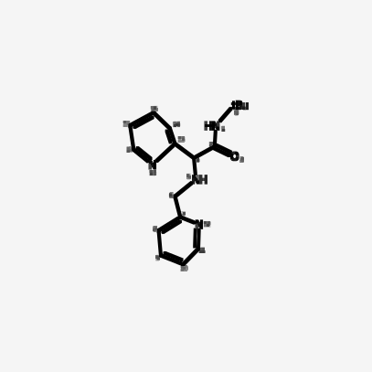 CC(C)(C)NC(=O)C(NCc1ccccn1)c1ccccn1